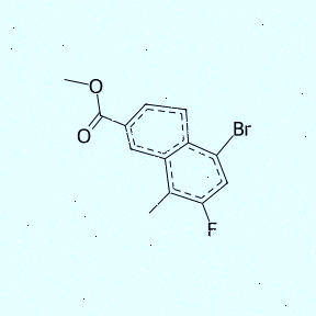 COC(=O)c1ccc2c(Br)cc(F)c(C)c2c1